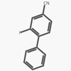 N#Cc1ccc(-c2ccccc2)c(I)c1